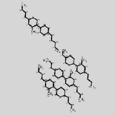 CCCCC1CCC(C2CCC(CC)CC2)C(C)C1.CCCCC1CCC(C2CCC(CCC)CC2)C(C)C1.CCCCC1CCC(C2CCC(CCCC)CC2C)CC1.CCCCCC1CCC(C2CCC(CCCC)CC2C)CC1